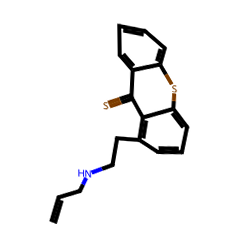 C=CCNCCc1cccc2sc3ccccc3c(=S)c12